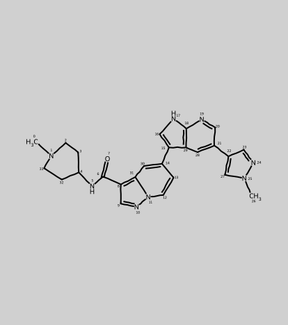 CN1CCC(NC(=O)c2cnn3ccc(-c4c[nH]c5ncc(-c6cnn(C)c6)cc45)cc23)CC1